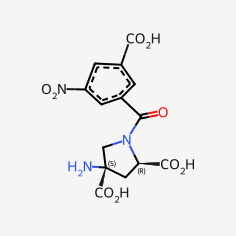 N[C@@]1(C(=O)O)C[C@H](C(=O)O)N(C(=O)c2cc(C(=O)O)cc([N+](=O)[O-])c2)C1